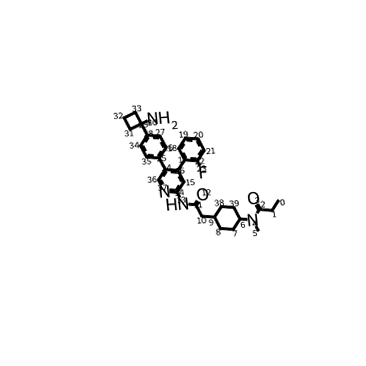 CCC(=O)N(C)C1CCC(CC(=O)Nc2cc(-c3ccccc3F)c(-c3ccc(C4(N)CCC4)cc3)cn2)CC1